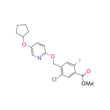 COC(=O)c1cc(Cl)c(COc2ccc(OC3CCCC3)cn2)cc1F